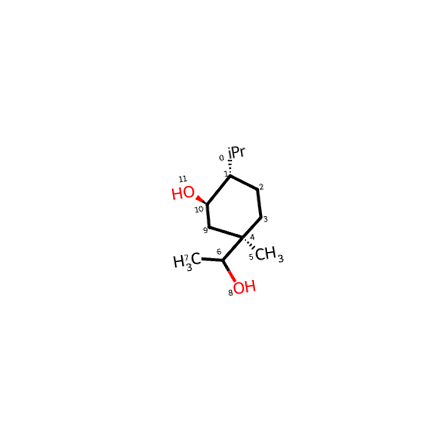 CC(C)[C@@H]1CC[C@@](C)(C(C)O)C[C@H]1O